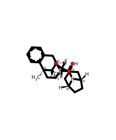 CC1(C)[C@H]2Cc3ccccc3[C@]1(C)CCN2C(=O)N1[C@@H]2CC[C@H]1C[C@@](O)(C(F)(F)F)C2